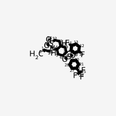 C=CCN1[C@H]2CC[C@@](c3cc(F)ccc3F)(S(=O)(=O)c3ccc(C(F)(F)F)cc3)C[C@H]2CCS1(=O)=O